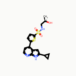 C[C@@H](O)CNS(=O)(=O)c1ccc(-c2ccnc3[nH]c(C4CC4)cc23)s1